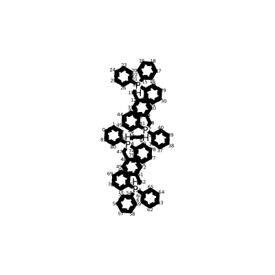 c1ccc([PH](CC[PH](Cc2ccc(C[PH](c3ccccc3)(c3ccccc3)c3ccccc3)cc2)(c2ccccc2)c2ccccc2)(Cc2ccc(C[PH](c3ccccc3)(c3ccccc3)c3ccccc3)cc2)c2ccccc2)cc1